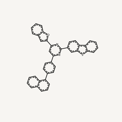 c1ccc2oc(-c3cc(-c4ccc(-c5cccc6ccccc56)cc4)nc(-c4ccc5c(c4)sc4ccccc45)n3)cc2c1